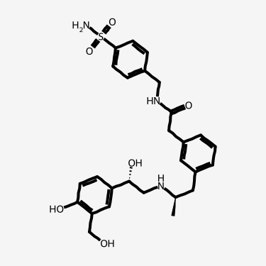 C[C@H](Cc1cccc(CC(=O)NCc2ccc(S(N)(=O)=O)cc2)c1)NC[C@@H](O)c1ccc(O)c(CO)c1